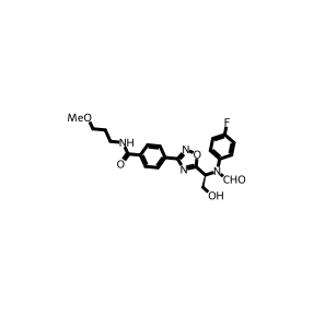 COCCCNC(=O)c1ccc(-c2noc([C@H](CO)N(C=O)c3ccc(F)cc3)n2)cc1